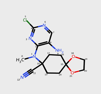 CN(c1nc(Cl)ncc1N)C1(C#N)CCC2(CC1)OCCO2